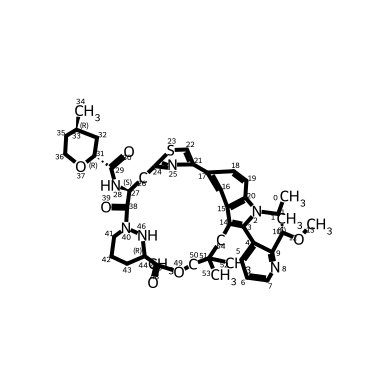 CCn1c(-c2cccnc2[C@H](C)OC)c2c3cc(ccc31)-c1csc(n1)C[C@H](NC(=O)[C@H]1C[C@H](C)CCO1)C(=O)N1CCC[C@@](C)(N1)C(=O)OCC(C)(C)C2